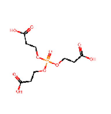 O=C(O)CCOP(=O)(OCCC(=O)O)OCCC(=O)O